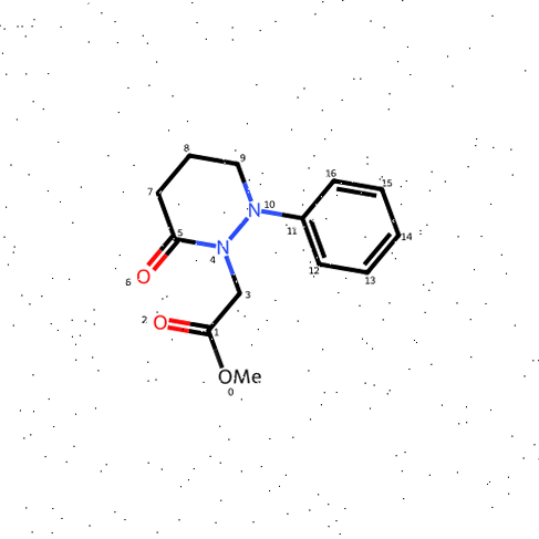 COC(=O)CN1C(=O)CCCN1c1ccccc1